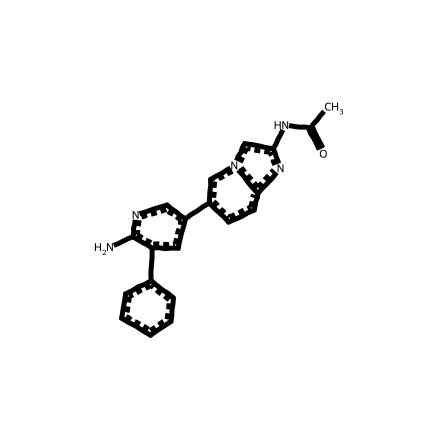 CC(=O)Nc1cn2cc(-c3cnc(N)c(-c4ccccc4)c3)ccc2n1